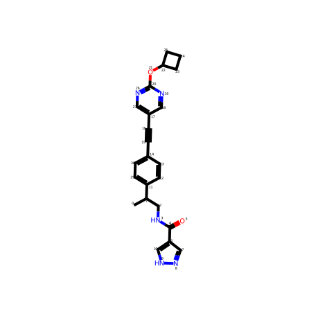 CC(CNC(=O)c1cn[nH]c1)c1ccc(C#Cc2cnc(OC3CCC3)nc2)cc1